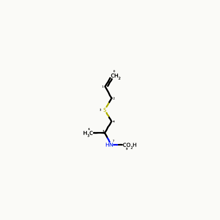 C=CCSCC(C)NC(=O)O